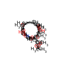 CO[C@H]1C[C@@H]2CC[C@@H](C)[C@@](O)(O2)C(=O)C(=O)N2CCCC[C@H]2C(=O)O[C@H]([C@H](C)C[C@@H]2CC[C@@H](OC(=O)C(C)C)[C@H](OC)C2)CC(=O)[C@H](C)/C=C(\C)[C@@H](O)[C@@H](OC)C(=O)[C@H](C)C[C@H](C)/C=C/C=C/C=C/1C